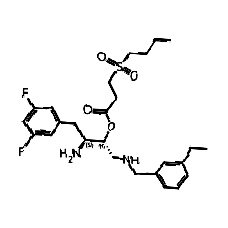 CCCCS(=O)(=O)CCC(=O)O[C@H](CNCc1cccc(CC)c1)[C@@H](N)Cc1cc(F)cc(F)c1